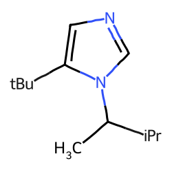 CC(C)C(C)n1cncc1C(C)(C)C